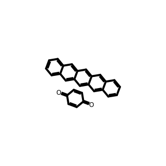 O=C1C=CC(=O)C=C1.c1ccc2cc3cc4cc5ccccc5cc4cc3cc2c1